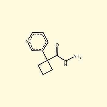 NNC(=O)C1(c2cccnc2)CCC1